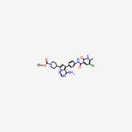 Cc1c(Br)cc(C(=O)Nc2ccc(-c3cc(C4CCN(C(=O)OC(C)(C)C)CC4)n4ncnc(N)c34)cc2)c(=O)n1C